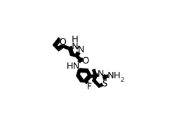 CC1(c2cc(NC(=O)c3cc(-c4ccco4)[nH]n3)ccc2F)CCSC(N)=N1